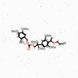 COc1cc(COC(=O)OCC(OC)(OC)c2cc(OC)c(C(C)OCCC(C)C)c(OC)c2)c([N+](=O)[O-])cc1OC